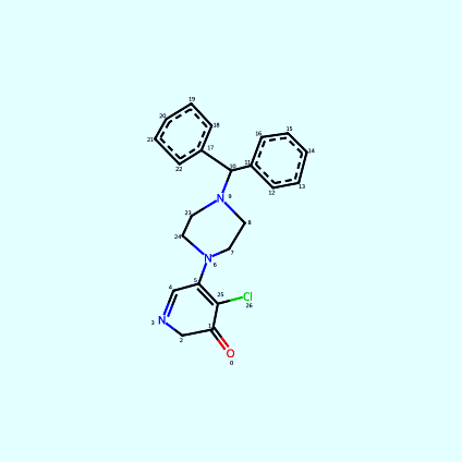 O=C1CN=CC(N2CCN(C(c3ccccc3)c3ccccc3)CC2)=C1Cl